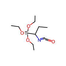 CC[O][Ti]([O]CC)([O]CC)[CH](CC)N=C=O